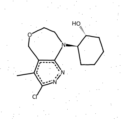 Cc1c(Cl)nnc2c1COCCN2[C@@H]1CCCC[C@H]1O